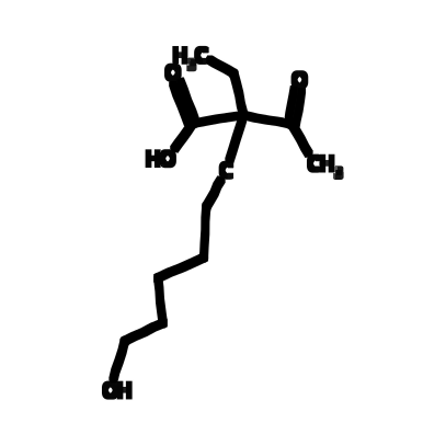 CCC(CCCCCCO)(C(C)=O)C(=O)O